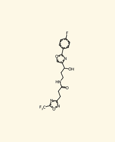 O=C(CCc1noc(C(F)(F)F)n1)NCCC(O)c1coc(-c2ccc(F)cc2)n1